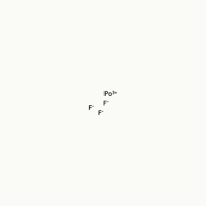 [F-].[F-].[F-].[Po+3]